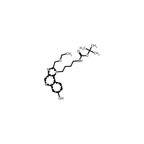 CCOCc1nc2cnc3cc(O)ccc3c2n1CCCCNC(=O)OC(C)(C)C